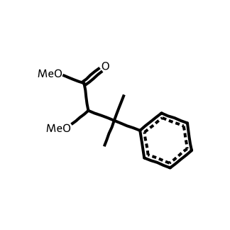 COC(=O)C(OC)C(C)(C)c1ccccc1